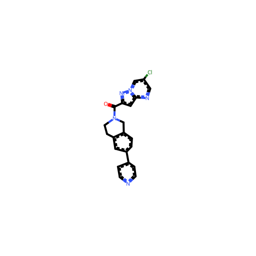 O=C(c1cc2ncc(Cl)cn2n1)N1CCc2cc(-c3ccncc3)ccc2C1